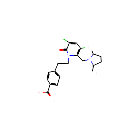 CC1CCC(C)N1Cc1c(Cl)cc(Cl)c(=O)n1CCc1ccc(C(=O)O)cc1